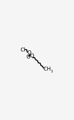 CCCCCCCCCCOC(=O)OCCCl